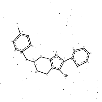 Oc1c2c(nn1-c1ccccn1)CN(Cc1ccc(F)cc1)CC2